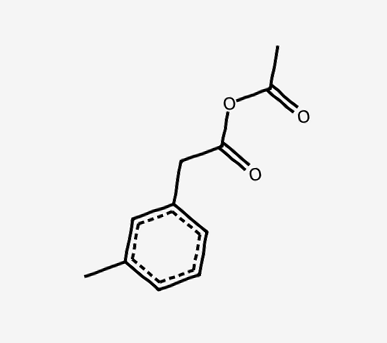 CC(=O)OC(=O)Cc1cccc(C)c1